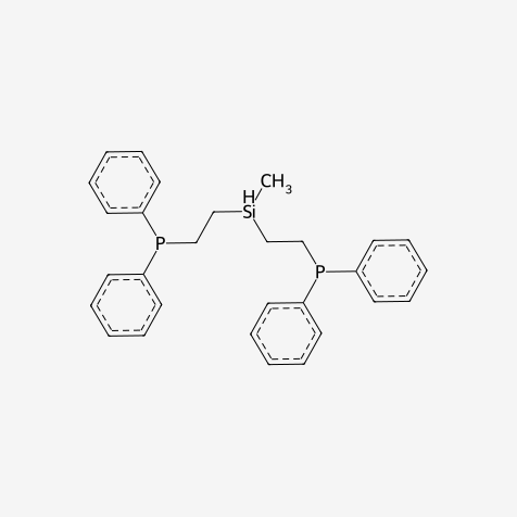 C[SiH](CCP(c1ccccc1)c1ccccc1)CCP(c1ccccc1)c1ccccc1